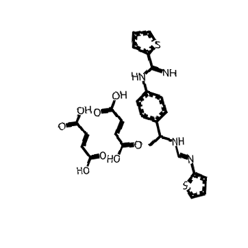 CC(N/C=N/c1cccs1)c1ccc(NC(=N)c2cccs2)cc1.O=C(O)/C=C/C(=O)O.O=C(O)/C=C/C(=O)O